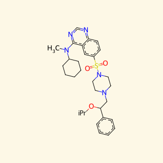 CC(C)OC(CN1CCN(S(=O)(=O)c2ccc3ncnc(N(C)C4CCCCC4)c3c2)CC1)c1ccccc1